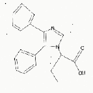 CCC(C(=O)O)n1cnc(-c2ccccc2)c1-c1ccccc1